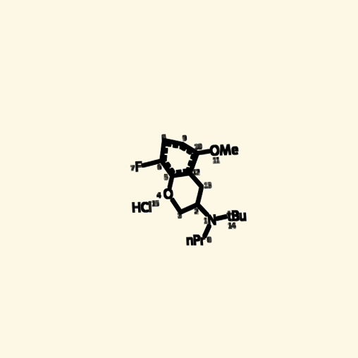 CCCN(C1COc2c(F)ccc(OC)c2C1)C(C)(C)C.Cl